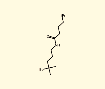 CCC(C)(C)CCCNC(=O)CCCC(C)C